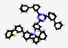 c1ccc(-c2cccc(-c3nc(-c4cccc(-c5ccccc5)c4)nc(-c4ccc(-n5c6ccccc6c6ccc(-c7cccc8c7sc7ccccc78)cc65)c(-c5ccccc5)c4)n3)c2)cc1